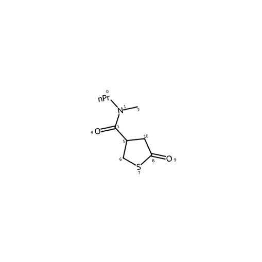 CCCN(C)C(=O)C1CSC(=O)C1